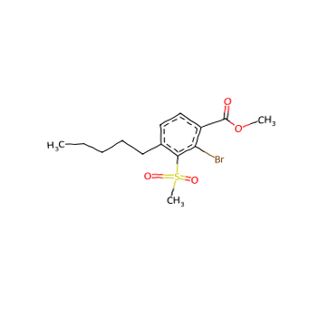 CCCCCc1ccc(C(=O)OC)c(Br)c1S(C)(=O)=O